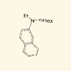 CCCCCCN(CC)c1ccc2ccccc2c1